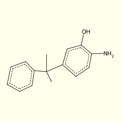 CC(C)(c1ccccc1)c1ccc(N)c(O)c1